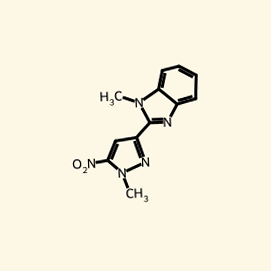 Cn1nc(-c2nc3ccccc3n2C)cc1[N+](=O)[O-]